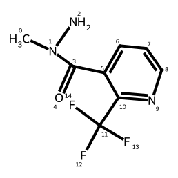 CN(N)C(=O)c1cccnc1C(F)(F)F